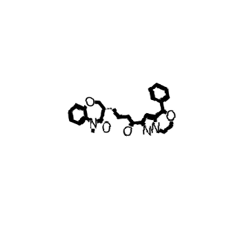 CN1C(=O)[C@@H](CCCC(=O)c2cc3n(n2)CCOC3c2ccccc2)COc2ccccc21